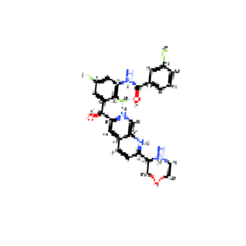 O=C(Nc1cc(F)cc(C(=O)c2cc3ccc(C4COCCN4)nc3cn2)c1F)c1cccc(F)c1